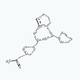 CBc1ccc(-c2cc(-c3ccccc3)c3ccccc3n2)cc1